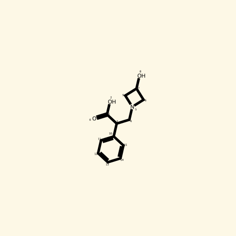 O=C(O)C(CN1CC(O)C1)c1ccccc1